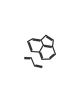 C1=Cc2cccc3cccc1c23.C=CC=C